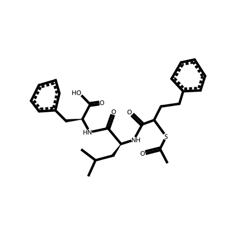 CC(=O)SC(CCc1ccccc1)C(=O)N[C@@H](CC(C)C)C(=O)N[C@@H](Cc1ccccc1)C(=O)O